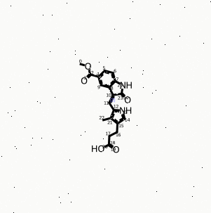 COC(=O)c1ccc2c(c1)/C(=C/c1[nH]cc(CCC(=O)O)c1C)C(=O)N2